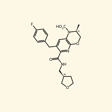 C[C@H]1COc2nc(C(=O)NC[C@H]3CCOC3)c(Cc3ccc(F)cc3)cc2N1C(=O)O